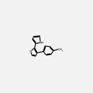 Cc1ccc(-c2ccoc2-c2ccc[nH]2)cc1